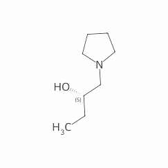 CC[C@H](O)CN1CCCC1